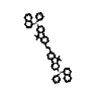 CC1(C)c2cc(/C=C/c3ccc4c(c3)C(C)(C)C3CC(N(c5ccccc5)c5cccc6ccccc56)=CC=C43)ccc2-c2ccc(N(c3ccccc3)c3cccc4ccccc34)cc21